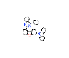 c1ccc(-c2nc(-c3cccc4oc5cc(-n6c7ccccc7c7ccccc76)ccc5c34)nc3ccccc23)cc1